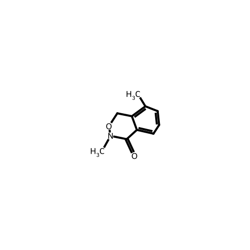 Cc1cccc2c1CON(C)C2=O